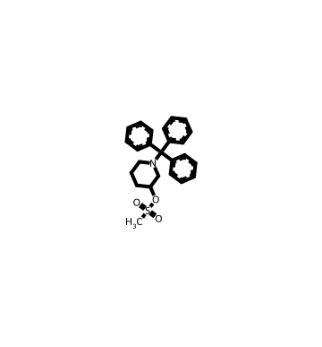 CS(=O)(=O)OC1CCCN(C(c2ccccc2)(c2ccccc2)c2ccccc2)C1